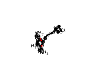 B[P@@]1(=O)OC[C@H]2O[C@@H](n3cnc4c(N)ccnc43)[C@H](F)[C@@H]2O[P@@](=O)(SCc2ccc(COCCOCCOCCn3nnc4c3-c3ccccc3N(C(=O)CC)Cc3ccccc3-4)cc2)OC[C@H]2O[C@@H](n3cnc4c(N)ncnc43)[C@H](F)[C@@H]2O1